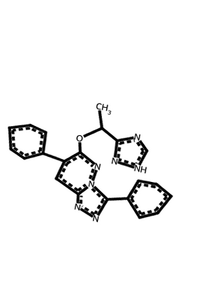 CC(Oc1nn2c(-c3ccccc3)nnc2cc1-c1ccccc1)c1nc[nH]n1